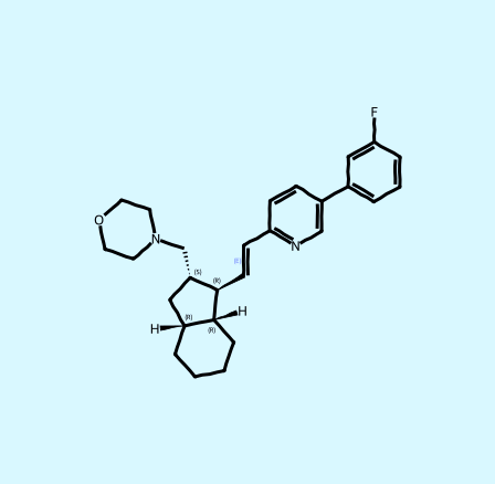 Fc1cccc(-c2ccc(/C=C/[C@@H]3[C@@H](CN4CCOCC4)C[C@H]4CCCC[C@H]43)nc2)c1